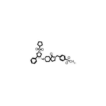 CS(=O)(=O)c1ccc(CN2CCC3(CCN(C[C@H]4CN(S(=O)(=O)C5CCCC5)CC4c4ccccc4)CC3)C2=O)cc1